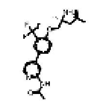 C=C(C)C[C@](C)(N)COc1ccc(-c2ccnc(NC(C)=O)c2)cc1C(F)(F)F